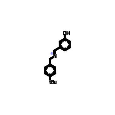 CC(C)(C)c1ccc(C/N=C/c2cccc(O)c2)cc1